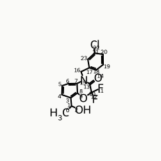 CC(O)c1cccc2c1OC(F)(F)C(=O)N2Cc1cccc(Cl)c1